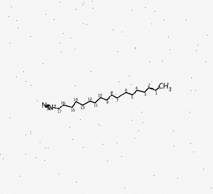 CCCCCCCCCCCCCCCCCC[N+]#N